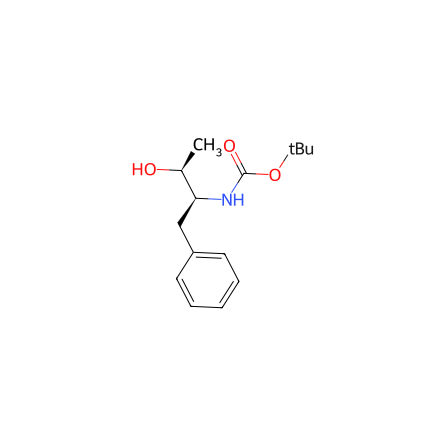 C[C@H](O)[C@H](Cc1ccccc1)NC(=O)OC(C)(C)C